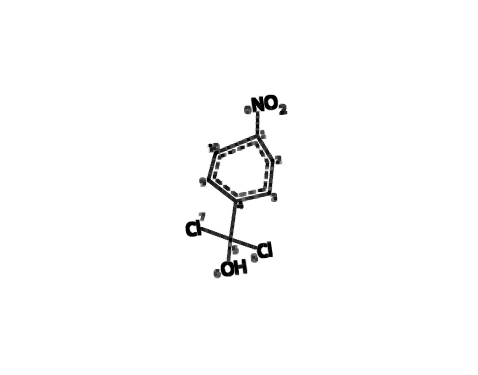 O=[N+]([O-])c1ccc(C(O)(Cl)Cl)cc1